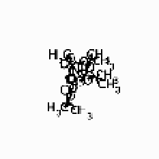 CCC(C)COC(=O)Oc1ccc(C[C@](N)(CCOC(=O)C(C)C)C(=O)OC)cc1OC(=O)OCC(C)CC